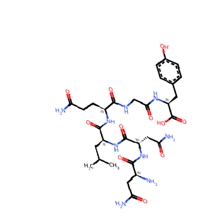 CC(C)C[C@H](NC(=O)[C@H](CC(N)=O)NC(=O)[C@@H](N)CC(N)=O)C(=O)N[C@@H](CCC(N)=O)C(=O)NCC(=O)N[C@@H](Cc1ccc(O)cc1)C(=O)O